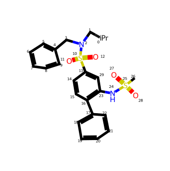 CC(C)CN(Cc1ccccc1)S(=O)(=O)c1ccc(-c2ccccc2)c(NS(C)(=O)=O)c1